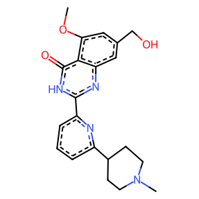 COc1cc(CO)cc2nc(-c3cccc(C4CCN(C)CC4)n3)[nH]c(=O)c12